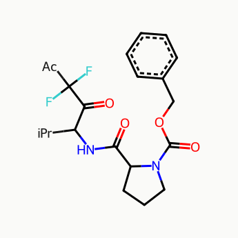 CC(=O)C(F)(F)C(=O)C(NC(=O)C1CCCN1C(=O)OCc1ccccc1)C(C)C